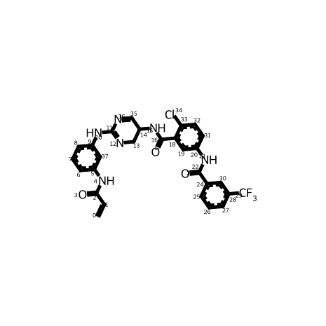 C=CC(=O)Nc1cccc(NC2=NCC(NC(=O)c3cc(NC(=O)c4cccc(C(F)(F)F)c4)ccc3Cl)C=N2)c1